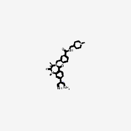 C[C@@H]1C(=O)N(C)c2cc(/C(C=N)=C/N)ccc2C(=O)N1Cc1cccc(C(=O)NCC2CCN(C)CC2)c1